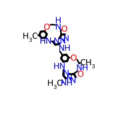 CNc1cc2nc3c(cnn13)C(=O)NC(C)COc1cc(CNc3cc4nc5c(cnn35)C(=O)NCCOc3cc(C)cc(c3)N4)cc(c1)N2